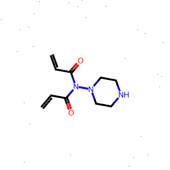 C=CC(=O)N(C(=O)C=C)N1CCNCC1